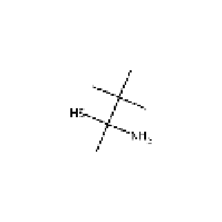 CC(C)(C)C(C)(N)S